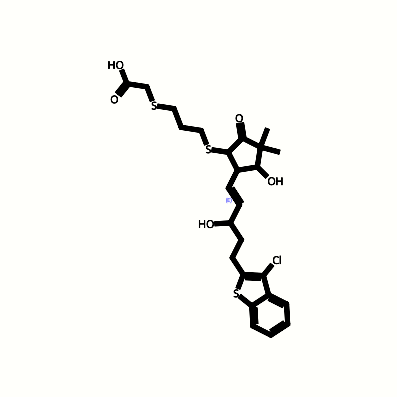 CC1(C)C(=O)C(SCCCSCC(=O)O)C(/C=C/C(O)CCc2sc3ccccc3c2Cl)C1O